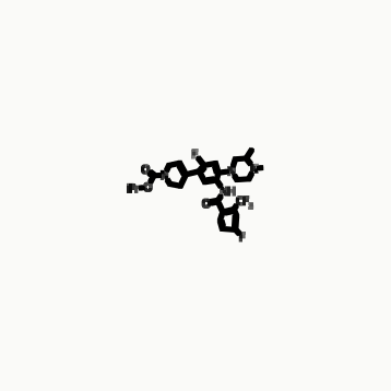 CC(C)OC(=O)N1CC=C(c2cc(NC(=O)c3ccc(F)cc3C(F)(F)F)c(N3CCN(C)C(C)C3)cc2F)CC1